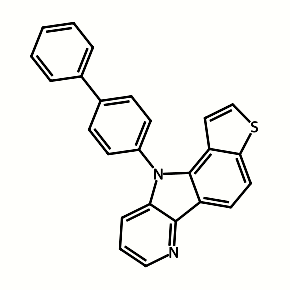 c1ccc(-c2ccc(-n3c4cccnc4c4ccc5sccc5c43)cc2)cc1